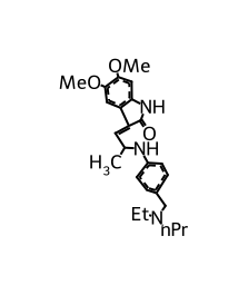 CCCN(CC)Cc1ccc(NC(C)C=C2C(=O)Nc3cc(OC)c(OC)cc32)cc1